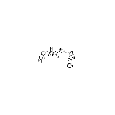 N/C(=C\C=C(/N)NC(=O)Cc1cccc(OC(F)(F)F)c1)CCCCc1nnc(NC(=O)Cc2ccccn2)s1